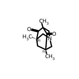 CC12CN3C[C@@](C)(C[C@@](C)(C3)C1=O)C2=O